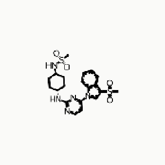 CS(=O)(=O)N[C@H]1CC[C@H](Nc2nccc(-n3cc(S(C)(=O)=O)c4ccccc43)n2)CC1